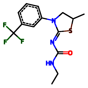 CCNC(=O)N=C1SC(C)CN1c1cccc(C(F)(F)F)c1